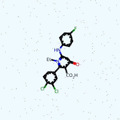 CCn1c(Nc2ccc(F)cc2)cc(=O)c(C(=O)O)c1-c1ccc(Cl)c(Cl)c1